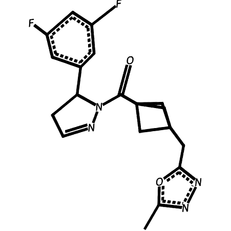 Cc1nnc(CC23CC(C(=O)N4N=CCC4c4cc(F)cc(F)c4)(C2)C3)o1